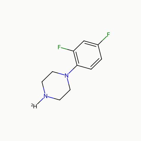 [2H]N1CCN(c2ccc(F)cc2F)CC1